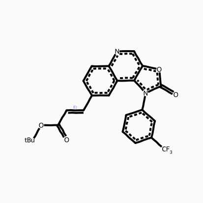 CC(C)(C)OC(=O)/C=C/c1ccc2ncc3oc(=O)n(-c4cccc(C(F)(F)F)c4)c3c2c1